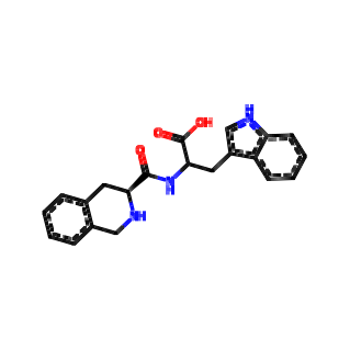 O=C(O)C(Cc1c[nH]c2ccccc12)NC(=O)[C@@H]1Cc2ccccc2CN1